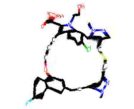 Cn1nc2cc1CCc1cc(c3ccc(F)cc3c1)OCCCc1c(C(=O)O)n(CCO)c3c(c(Cl)ccc13)-c1c(cnn1C)CSC2